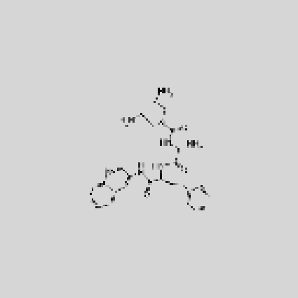 NCCN(CCN)C(=O)N[C@H](N)C(=O)N[C@@H](CCc1ccccc1)C(=O)Nc1cnc2ccccc2c1